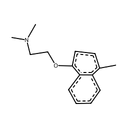 Cc1ccc(OCCN(C)C)c2ccccc12